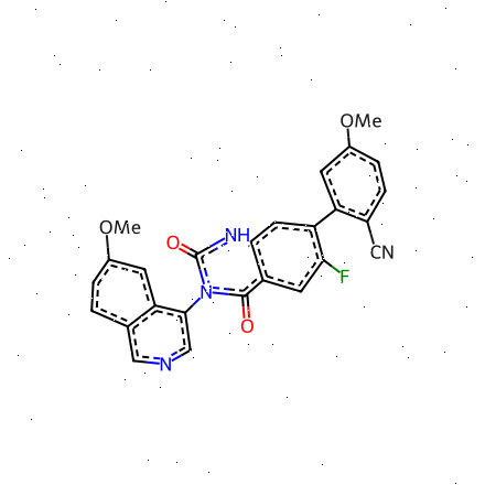 COc1ccc(C#N)c(-c2cc3[nH]c(=O)n(-c4cncc5ccc(OC)cc45)c(=O)c3cc2F)c1